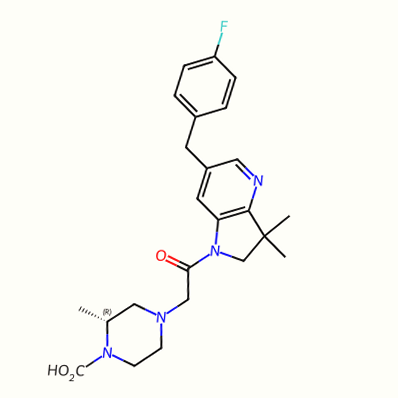 C[C@@H]1CN(CC(=O)N2CC(C)(C)c3ncc(Cc4ccc(F)cc4)cc32)CCN1C(=O)O